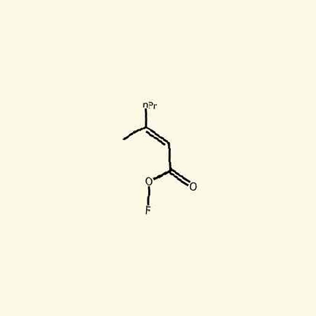 CCCC(C)=CC(=O)OF